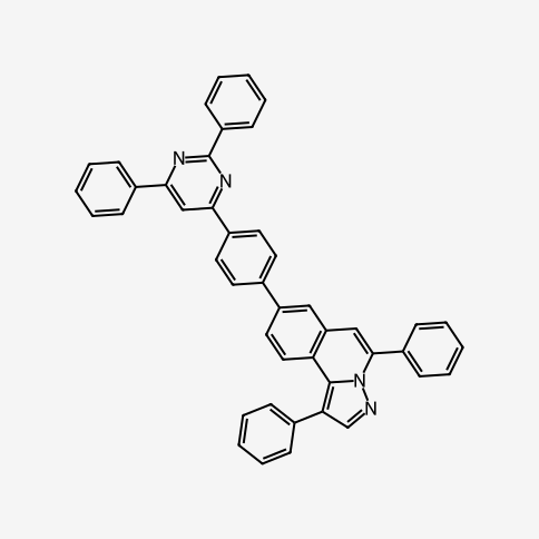 c1ccc(-c2cc(-c3ccc(-c4ccc5c(c4)cc(-c4ccccc4)n4ncc(-c6ccccc6)c54)cc3)nc(-c3ccccc3)n2)cc1